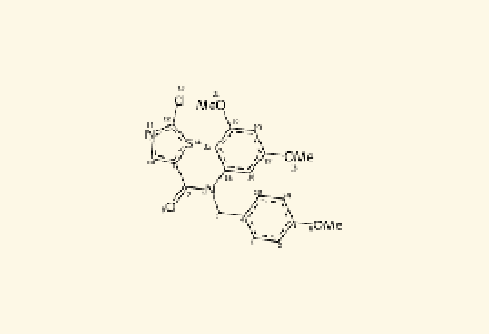 COc1ccc(CN(C(=O)c2cnc(Cl)s2)c2cc(OC)cc(OC)c2)cc1